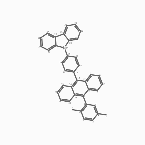 Cc1ccc(C)c(-c2c3ccccc3c(-c3ccc(-n4c5ccccc5c5ccccc54)cc3)c3ccccc23)c1